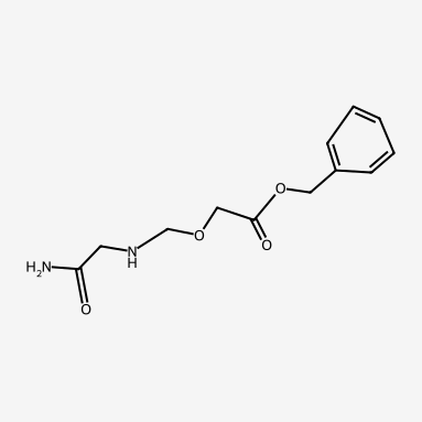 NC(=O)CNCOCC(=O)OCc1ccccc1